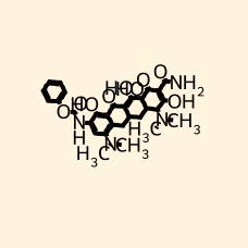 CN(C)c1cc(NC(=O)Oc2ccccc2)c(O)c2c1CC1CC3C(N(C)C)C(O)=C(C(N)=O)C(=O)[C@@]3(O)C(O)=C1C2=O